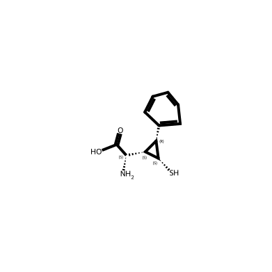 N[C@H](C(=O)O)[C@H]1[C@@H](S)[C@H]1c1ccccc1